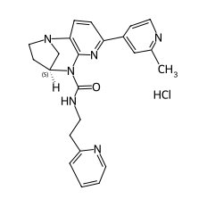 Cc1cc(-c2ccc3c(n2)N(C(=O)NCCc2ccccn2)[C@H]2CCN3C2)ccn1.Cl